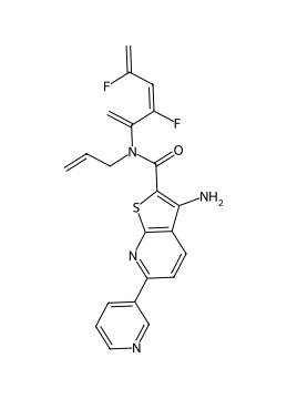 C=CCN(C(=C)/C(F)=C\C(=C)F)C(=O)c1sc2nc(-c3cccnc3)ccc2c1N